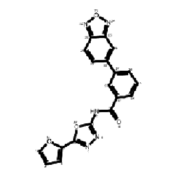 O=C(Nc1nnc(-c2ccco2)o1)c1cccc(-c2ccc3nonc3c2)c1